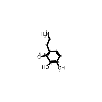 NCCc1ccc(O)c(O)c1Cl